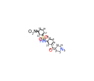 CN1CCC(C(=O)c2cccc(NS(=O)(=O)c3cccc([N+](=O)[O-])c3)c2)CC1